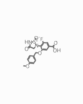 COc1ccc(COc2cc(C(=O)O)cc(F)c2N2CC(=O)N[S+]2[O-])cc1